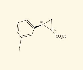 CCOC(=O)[C@H]1C[C@@H]1c1cccc(I)c1